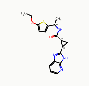 C[C@@H](NC(=O)[C@@H]1C[C@H]1c1nc2cccnc2[nH]1)c1ccc(OCC(F)(F)F)s1